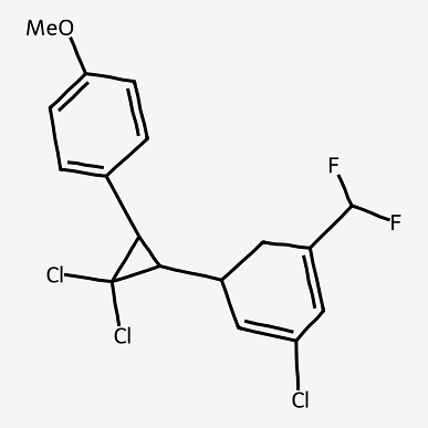 COc1ccc(C2C(C3C=C(Cl)C=C(C(F)F)C3)C2(Cl)Cl)cc1